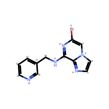 Brc1cn2ccnc2c(NCc2cccnc2)n1